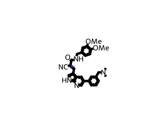 COc1ccc(CNC(=O)/C(C#N)=C/c2c[nH]c3ncc(-c4cccc(CN(C)C)c4)cc23)cc1OC